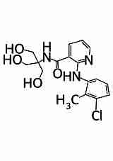 Cc1c(Cl)cccc1Nc1ncccc1C(=O)NC(CO)(CO)CO